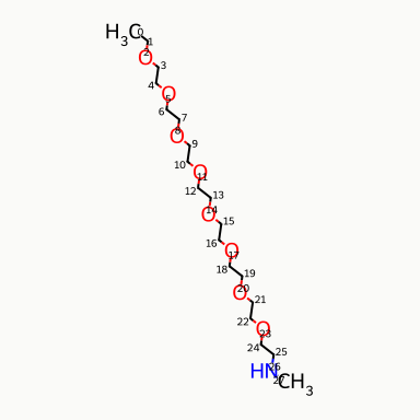 CCOCCOCCOCCOCCOCCOCCOCCOCCNC